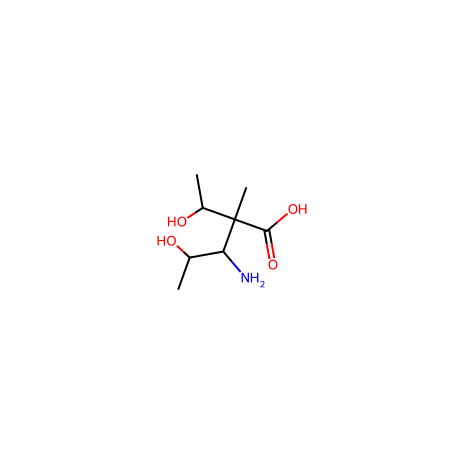 CC(O)C(N)C(C)(C(=O)O)C(C)O